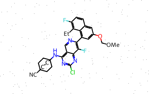 CCc1c(F)ccc2cc(OCOC)cc(-c3ncc4c(NC56CCC(C#N)(CC5)CC6)nc(Cl)nc4c3F)c12